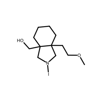 COCCC12CCCCC1(CO)CN(I)C2